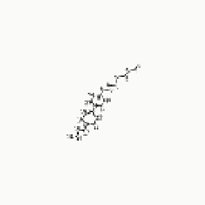 CCCCCCCCCC1CCC([C@H]2CC[C@H](CCCC)CC2)CC1